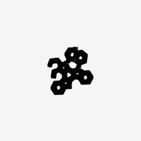 C=Cc1c(/C=C\C)n(-c2ccncc2)c2c1c1c3ccccc3sc1c1c3ccccc3n(-c3ccccc3)c12